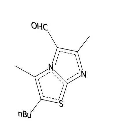 CCCCc1sc2nc(C)c(C=O)n2c1C